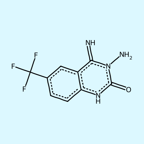 N=c1c2cc(C(F)(F)F)ccc2[nH]c(=O)n1N